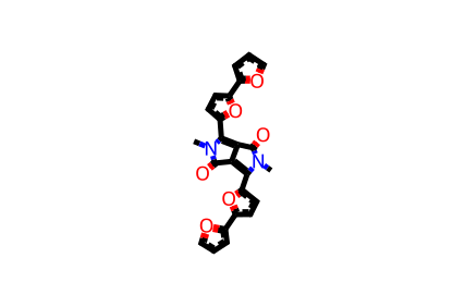 CN1C(=O)C2=C(c3ccc(-c4ccco4)o3)N(C)C(=O)C2=C1c1ccc(-c2ccco2)o1